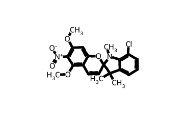 COc1cc2c(c(OC)c1[N+](=O)[O-])C=CC1(O2)N(C)c2c(Cl)cccc2C1(C)C